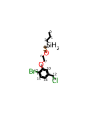 CCC[SiH2]SOCCOc1cc(CCl)ccc1Br